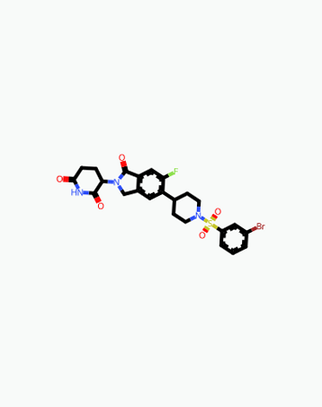 O=C1CCC(N2Cc3cc(C4CCN(S(=O)(=O)c5cccc(Br)c5)CC4)c(F)cc3C2=O)C(=O)N1